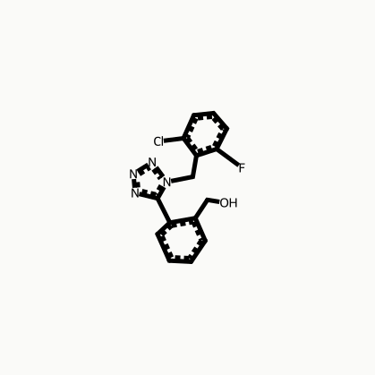 OCc1ccccc1-c1nnnn1Cc1c(F)cccc1Cl